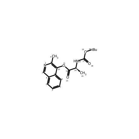 Cc1ncc2ccccc2c1OC(=O)[C@H](C)NC(=O)OC(C)(C)C